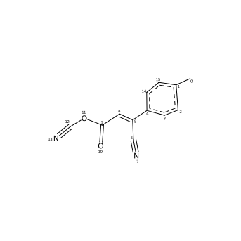 Cc1ccc(C(C#N)=CC(=O)OC#N)cc1